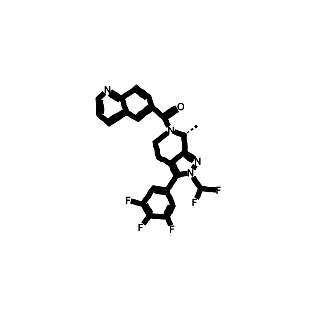 C[C@@H]1c2nn(C(F)F)c(-c3cc(F)c(F)c(F)c3)c2CCN1C(=O)c1ccc2ncccc2c1